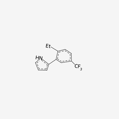 CCc1ccc(C(F)(F)F)cc1-c1ccc[nH]1